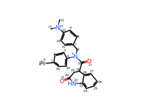 CC(C)c1ccc(N(Cc2ccc(N(C)C)cc2)C(=O)C2CC(=O)Nc3ccccc32)cc1